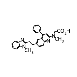 CN(CC(=O)O)c1cc(-c2ccccc2)c2cc(CCc3nc4ccccc4n3C)ccc2n1